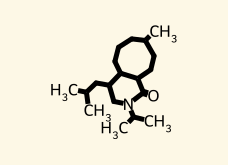 CC(C)CC1CN(C(C)C)C(=O)C2CCC(C)CCCC12